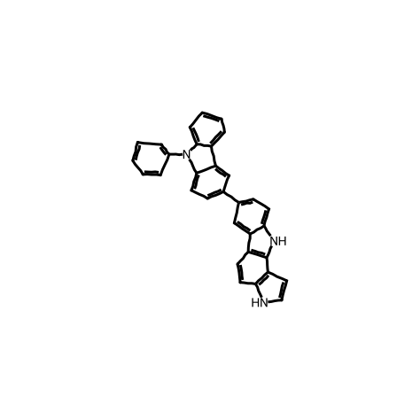 c1ccc(-n2c3ccccc3c3cc(-c4ccc5[nH]c6c7cc[nH]c7ccc6c5c4)ccc32)cc1